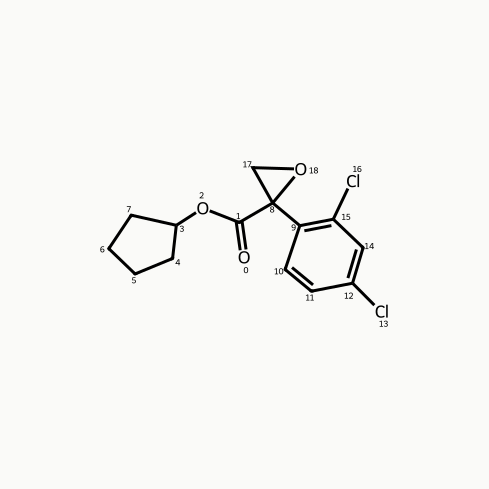 O=C(OC1CCCC1)C1(c2ccc(Cl)cc2Cl)CO1